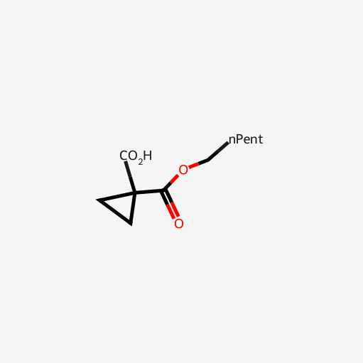 CCCCCCOC(=O)C1(C(=O)O)CC1